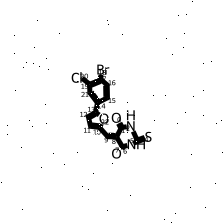 O=C1NC(=S)NC(=O)C1=Cc1ccc(-c2ccc(Br)c(Cl)c2)o1